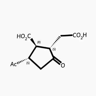 CC(=O)[C@H]1CC(=O)[C@@H](CC(=O)O)[C@@H]1C(=O)O